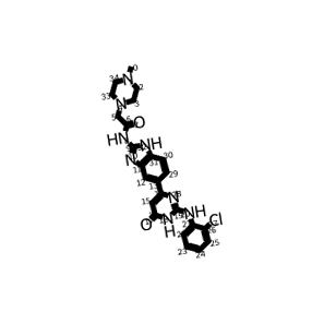 CN1CCN(CC(=O)Nc2nc3cc(-c4cc(=O)[nH]c(Nc5ccccc5Cl)n4)ccc3[nH]2)CC1